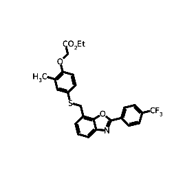 CCOC(=O)COc1ccc(SCc2cccc3nc(-c4ccc(C(F)(F)F)cc4)oc23)cc1C